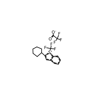 FC(F)(F)[s+]1c(C2CCCCC2)cc2ccccc21.O=C([O-])C(F)(F)F